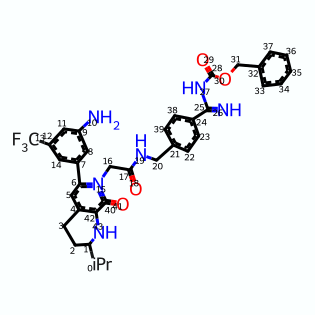 CC(C)C1CCc2cc(-c3cc(N)cc(C(F)(F)F)c3)n(CC(=O)NCc3ccc(C(=N)NC(=O)OCc4ccccc4)cc3)c(=O)c2N1